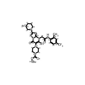 CCc1c(N2CCN(C(=O)OC(C)(C)C)CC2)c(=O)n2nc(N3CCC[C@@H](F)C3)nc2n1CC(=O)Nc1ccc(C(F)(F)F)cc1C